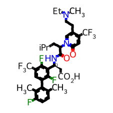 CCN(C)CCc1cn(C(CC(C)C)C(=O)N[C@@H](CC(=O)O)c2c(F)c(-c3c(C)ccc(F)c3C)cc(C(F)(F)F)c2F)c(=O)cc1C(F)(F)F